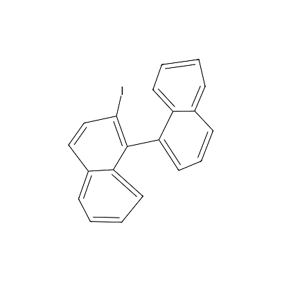 Ic1ccc2ccccc2c1-c1cccc2ccccc12